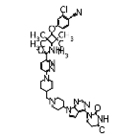 CC1(C)C(NC(=O)c2ccc(N3CCC(CN4CCC(n5ccc6c(N7CCC(=O)NC7=O)ncnc65)CC4)CC3)nn2)C(C)(C)C1Oc1ccc(C#N)c(Cl)c1